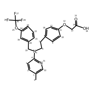 Cc1ccc(N(CCc2ccc(OCC(=O)O)cc2)Cc2cccc(OC(F)(F)F)c2)nc1